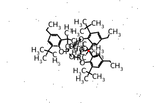 CCc1cc(C(C)(C)C)c(OP2OP(Oc3c(C(C)(C)C)cc(CC)cc3C(C)(C)C)OP(Oc3c(C(C)(C)C)cc(CC)cc3C(C)(C)C)O2)c(C(C)(C)C)c1